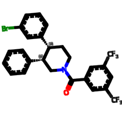 O=C(c1cc(C(F)(F)F)cc(C(F)(F)F)c1)N1CC[C@@H](c2cccc(Br)c2)[C@@H](c2ccccc2)C1